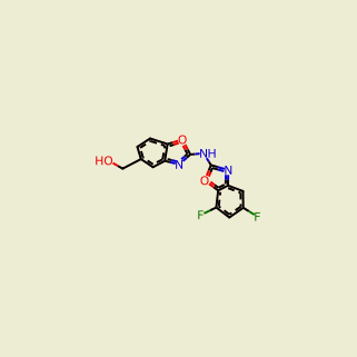 OCc1ccc2oc(Nc3nc4cc(F)cc(F)c4o3)nc2c1